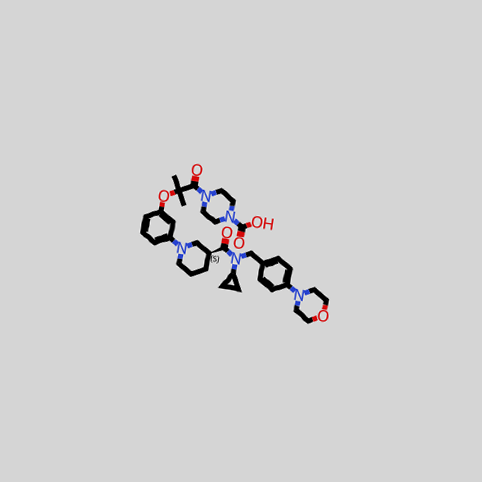 CC(C)(Oc1cccc(N2CCC[C@H](C(=O)N(Cc3ccc(N4CCOCC4)cc3)C3CC3)C2)c1)C(=O)N1CCN(C(=O)O)CC1